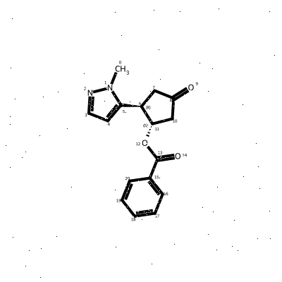 Cn1nccc1[C@H]1CC(=O)C[C@@H]1OC(=O)c1ccccc1